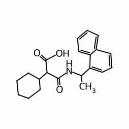 CC(NC(=O)C(C(=O)O)C1CCCCC1)c1cccc2ccccc12